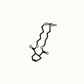 CCCCCCCCCCCCCCCOC(=O)C1CC=CCC1C(=O)OCCCCCCCCCCCCCCC